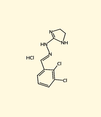 Cl.Clc1cccc(C=NNC2=NCCN2)c1Cl